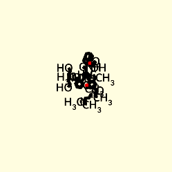 COc1cccc(OC)c1-c1cc(C(=O)NC2(C(=O)O)C3CC4CC(C3)CC2C4)nn1-c1ccc(C(=O)N(C)CCCN(C)C)cc1C(C)C.OCCNCCO